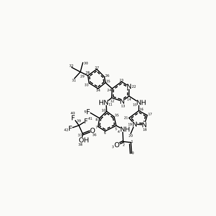 C=CC(=O)Nc1ccc(F)c(Nc2nc(Nc3cnn(C)c3)ncc2-c2ccc(C(C)(C)C)cc2)c1.O=C(O)C(F)(F)F